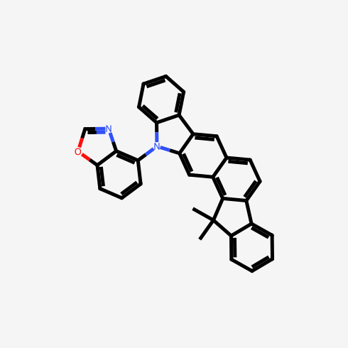 CC1(C)c2ccccc2-c2ccc3cc4c5ccccc5n(-c5cccc6ocnc56)c4cc3c21